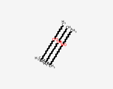 CCCCCCCCCCCC(=O)OCCCCCCCCCCCCCCCC(C)C.CCCCCCCCCCCC(=O)OCCCCCCCCCCCCCCCC(C)C.CCCCCCCCCCCC(=O)OCCCCCCCCCCCCCCCC(C)C